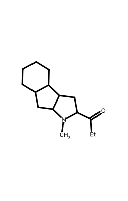 CCC(=O)C1CC2C3CCCCC3CC2N1C